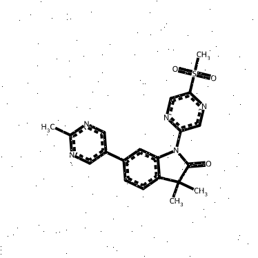 Cc1ncc(-c2ccc3c(c2)N(c2cnc(S(C)(=O)=O)cn2)C(=O)C3(C)C)cn1